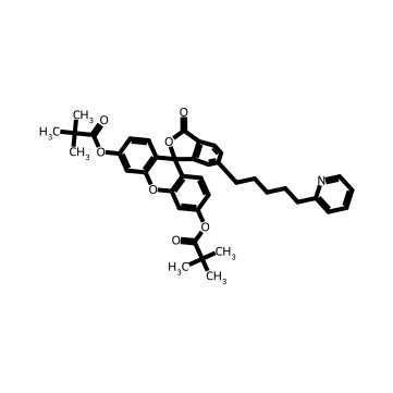 CC(C)(C)C(=O)Oc1ccc2c(c1)Oc1cc(OC(=O)C(C)(C)C)ccc1C21OC(=O)c2ccc(CCCCCc3ccccn3)cc21